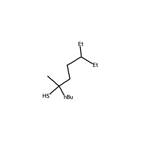 CCCCC(C)(S)CCC(CC)CC